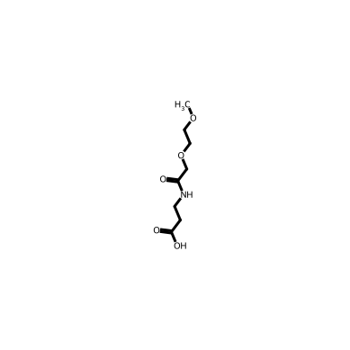 COCCOCC(=O)NCCC(=O)O